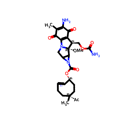 CO[C@]12C3C(CN1C1=C(C(=O)C(N)=C(C)C1=O)[C@H]2COC(N)=O)N3C(=O)O[C@H]1/C=C/CC[C@@](C)(C(C)=O)CC1